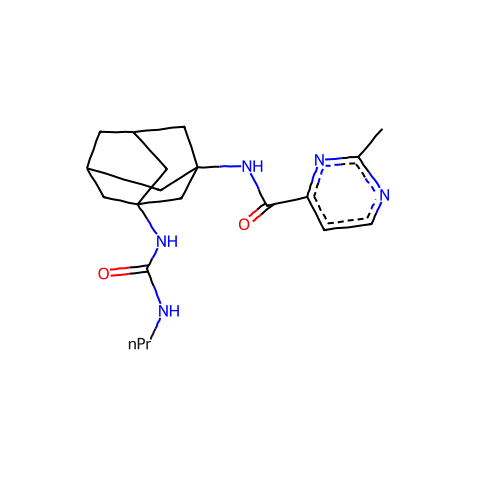 CCCNC(=O)NC12CC3CC(C1)CC(NC(=O)c1ccnc(C)n1)(C3)C2